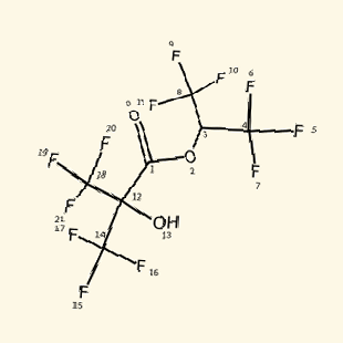 O=C(OC(C(F)(F)F)C(F)(F)F)C(O)(C(F)(F)F)C(F)(F)F